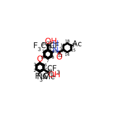 CNc1ccc(Oc2ccc(NC(=O)C3CCC(C(C)=O)CC3)c(C(O)(C(F)(F)F)C(F)(F)F)c2)cc1C(O)(C(F)(F)F)C(F)(F)F